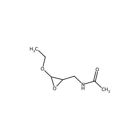 CCOC1OC1CNC(C)=O